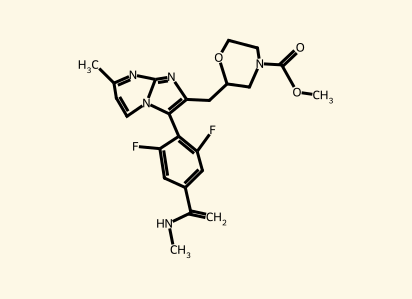 C=C(NC)c1cc(F)c(-c2c(CC3CN(C(=O)OC)CCO3)nc3nc(C)ccn23)c(F)c1